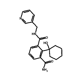 NC(=O)c1cccc(C(=O)NCc2cccnc2)c1C1(O)CCCCC1